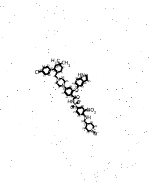 CC1(C)CCC(CN2CCN(c3ccc(C(=O)NS(=O)(=O)c4ccc(NCC5CC[S+]([O-])CC5)c([N+](=O)[O-])c4)c(Oc4ccc5[nH]ccc5c4)c3)CC2)=C(c2ccc(Cl)cc2)C1